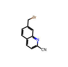 N#Cc1ccc2ccc(CBr)cc2n1